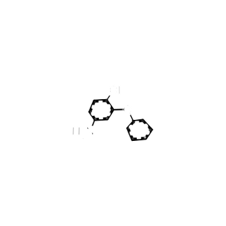 Nc1ccc(O)c(Oc2ccccc2)c1